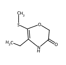 CCC1=C(SC)OCC(=O)N1